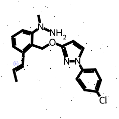 C/C=C/c1cccc(N(C)N)c1COc1ccn(-c2ccc(Cl)cc2)n1